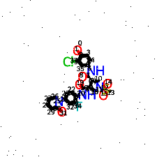 COc1ccc(NC(=O)[C@H]2CN(S(C)(=O)=O)C[C@@H]2C(=O)Nc2ccc(-n3ccccc3=O)cc2F)cc1Cl